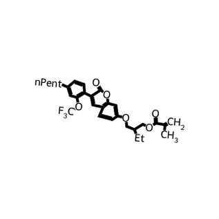 C=C(C)C(=O)OCC(CC)COc1ccc2cc(-c3ccc(CCCCC)cc3OC(F)(F)F)c(=O)oc2c1